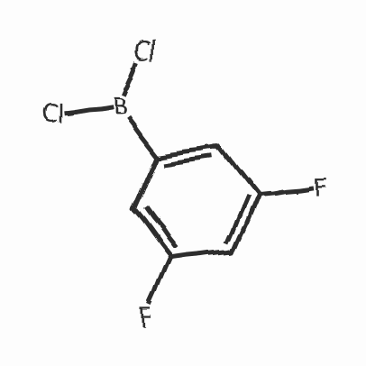 Fc1cc(F)cc(B(Cl)Cl)c1